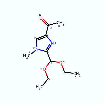 CCOC(OCC)c1nc(C(C)=O)cn1C